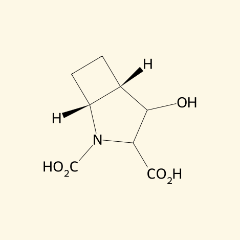 O=C(O)C1C(O)[C@H]2CC[C@H]2N1C(=O)O